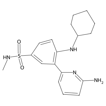 CNS(=O)(=O)c1ccc(NC2CCCCC2)c(-c2cccc(N)n2)c1